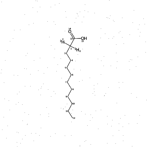 [2H]C([2H])(CCCCCCCCCC)C(=O)O